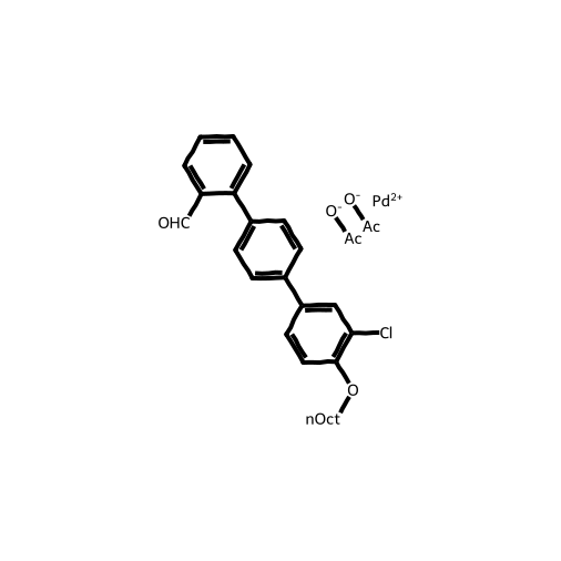 CC(=O)[O-].CC(=O)[O-].CCCCCCCCOc1ccc(-c2ccc(-c3ccccc3C=O)cc2)cc1Cl.[Pd+2]